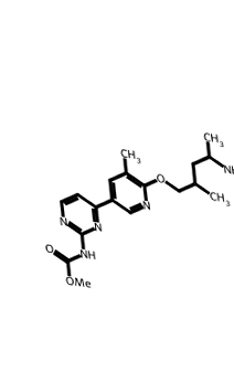 COC(=O)Nc1nccc(-c2cnc(OCC(C)CC(C)N)c(C)c2)n1